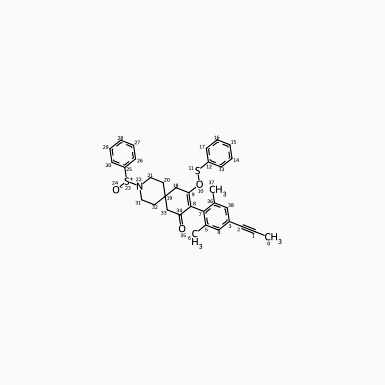 CC#Cc1cc(C)c(C2=C(OSc3ccccc3)CC3(CCN([S+]([O-])c4ccccc4)CC3)CC2=O)c(C)c1